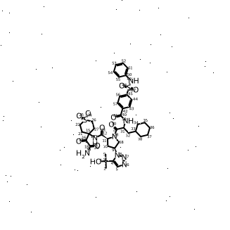 CC(C)(O)c1cnnn1[C@H]1C[C@@H](C(=O)NC2(C(=O)C(N)=O)CCS(=O)(=O)CC2)N(C(=O)C(CC2CCCCC2)NC(=O)c2ccc(S(=O)(=O)Nc3ccccc3)cc2)C1